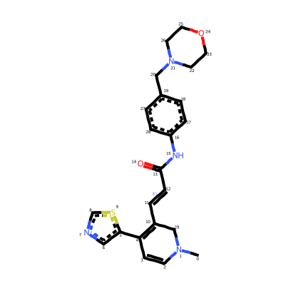 CN1C=CC(c2cncs2)=C(/C=C/C(=O)Nc2ccc(CN3CCOCC3)cc2)C1